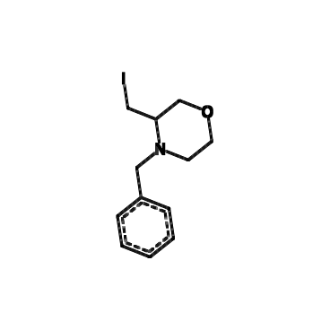 ICC1COCCN1Cc1ccccc1